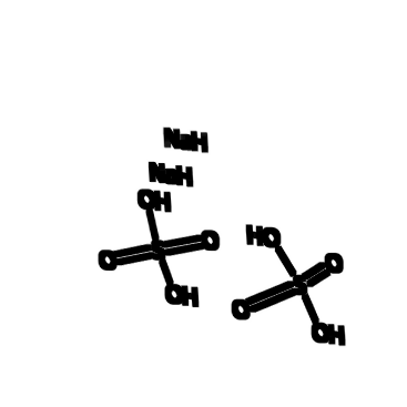 O=S(=O)(O)O.O=S(=O)(O)O.[NaH].[NaH]